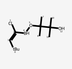 CC(C)(C)/C=C(/Cl)BOC(C)(C)C(C)(C)O